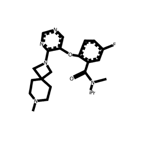 CC(C)N(C)C(=O)c1cc(F)ccc1Oc1cncnc1N1CC2(CCN(C)CC2)C1